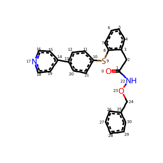 O=C(Cc1ccccc1Sc1ccc(-c2ccncc2)cc1)NOCc1ccccc1